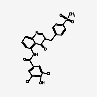 CS(=O)(=O)c1ccc(Cn2cnc3cccc(NC(=O)c4cc(Cl)c(O)c(Cl)c4)c3c2=O)cc1